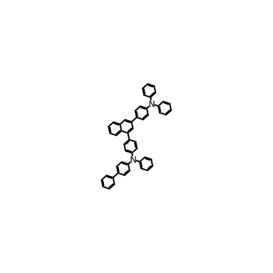 c1ccc(-c2ccc(N(c3ccccc3)c3ccc(-c4cc(-c5ccc(N(c6ccccc6)c6ccccc6)cc5)cc5ccccc45)cc3)cc2)cc1